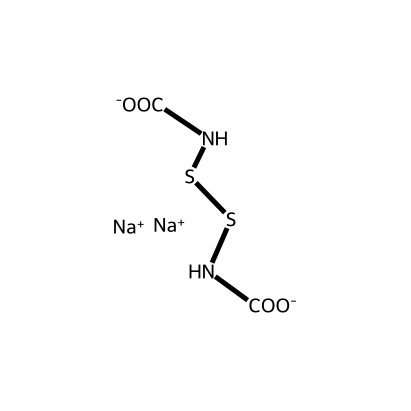 O=C([O-])NSSNC(=O)[O-].[Na+].[Na+]